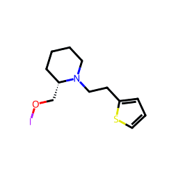 IOC[C@@H]1CCCCN1CCc1cccs1